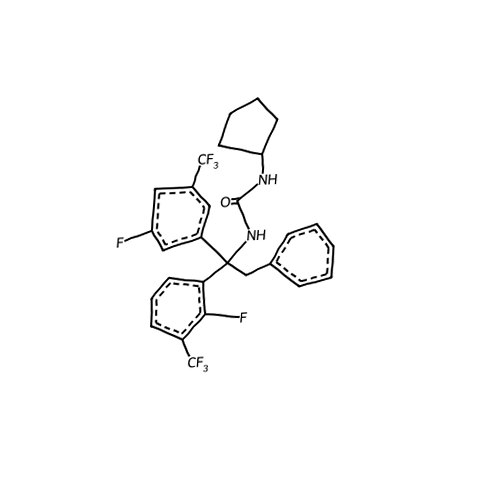 O=C(NC1CCCC1)NC(Cc1ccccc1)(c1cc(F)cc(C(F)(F)F)c1)c1cccc(C(F)(F)F)c1F